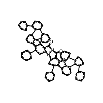 O=c1c2c3oc4c(-c5c(-c6ccccc6)cccc5-c5ccccc5)cccc4c3c(-c3ccccc3)cc2n2c3cc(-c4ccccc4)c4c5cccc(-c6c(-c7ccccc7)cccc6-c6ccccc6)c5oc4c3c(=O)n12